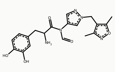 Cc1noc(C)c1Cn1cc(N(C=O)C(=O)C(N)Cc2ccc(O)c(O)c2)cn1